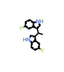 CC(c1c[nH]c2ccc(F)cc12)c1c[nH]c2ccc(F)cc12